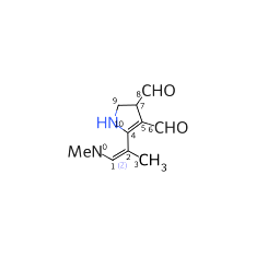 CN/C=C(/C)C1=C(C=O)C(C=O)CN1